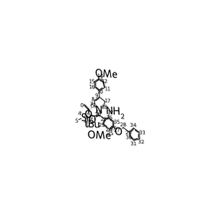 C=C(O[Si](C)(C)C(C)(C)C)[C@@H]1C=C(c2ccc(OC)cc2)CCN1C(=O)c1cc(OC)c(OCc2ccccc2)cc1N